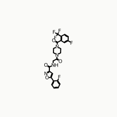 O=C(NCC(=O)N1CCN(C(=O)c2cc(F)ccc2C(F)(F)F)CC1)c1cc(-c2ccccc2F)on1